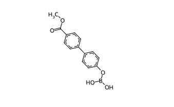 COC(=O)c1ccc(-c2ccc(OB(O)O)cc2)cc1